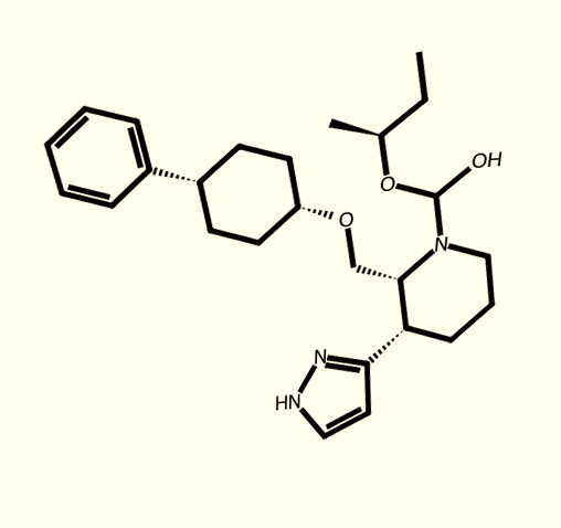 CC[C@H](C)OC(O)N1CCC[C@H](c2cc[nH]n2)[C@@H]1CO[C@H]1CC[C@@H](c2ccccc2)CC1